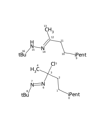 CCCC(C)CCC(C)(Cl)N=NC(C)(C)C.CCCC(C)CCC(C)=NNC(C)(C)C